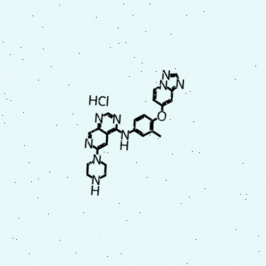 Cc1cc(Nc2ncnc3cnc(N4CCNCC4)cc23)ccc1Oc1ccn2ncnc2c1.Cl